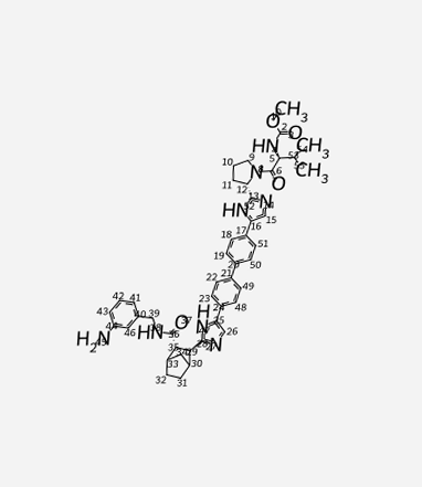 COC(=O)N[C@H](C(=O)N1CCC[C@H]1c1ncc(-c2ccc(-c3ccc(-c4cnc([C@H]5C6CCC(C6)[C@@H]5C(=O)NCc5cccc(N)c5)[nH]4)cc3)cc2)[nH]1)C(C)C